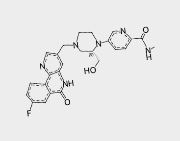 CNC(=O)c1ccc(N2CCN(Cc3cnc4c(c3)[nH]c(=O)c3cc(F)ccc34)C[C@H]2CO)cn1